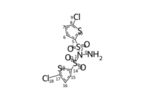 NN(S(=O)(=O)c1ccc(Cl)s1)S(=O)(=O)c1ccc(Cl)s1